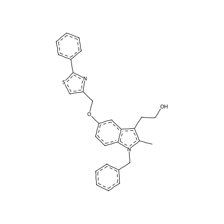 Cc1c(CCO)c2cc(OCc3csc(-c4ccccc4)n3)ccc2n1Cc1ccccc1